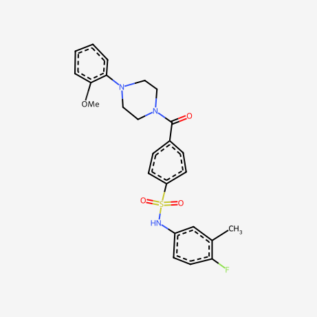 COc1ccccc1N1CCN(C(=O)c2ccc(S(=O)(=O)Nc3ccc(F)c(C)c3)cc2)CC1